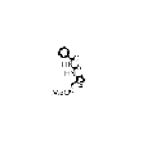 COOCc1sccc1NC(=S)NC(=O)c1ccccc1